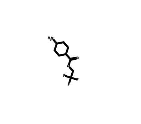 NC1CCC(C(=O)OCC(F)(F)F)CC1